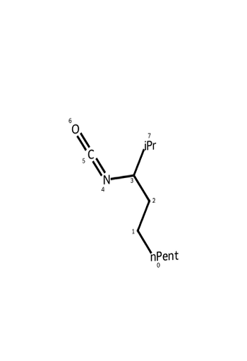 CCCCCCCC(N=C=O)C(C)C